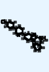 C[C@@H](Nc1nc2cc(-c3ccc(-c4ccc(Cl)cc4)cn3)ccc2[nH]1)c1ccccc1